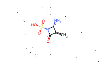 C=C1C(=O)N(S(=O)(=O)O)[C@H]1N